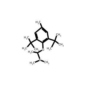 Cc1cc(C(C)(C)C)c(OC(C)N(C)C)c(C(C)(C)C)c1